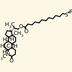 CC(C)SCCCCCCCCCCCC(=O)OCC(C)[C@H]1CC[C@H]2[C@@H]3CC[C@H]4N(C)C(=O)CC[C@]4(C)[C@H]3CC[C@]12C